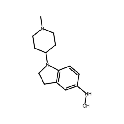 CN1CCC(N2CCc3cc(NO)ccc32)CC1